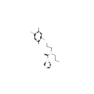 CCCN(CCOc1cc(Cl)c(Cl)cc1Cl)C(=O)n1ccnc1